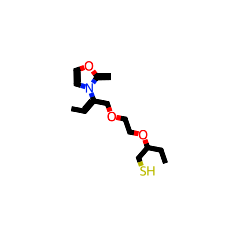 C=C1OC=CN1/C(=C\C)COCCOC(CC)CS